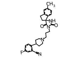 Cc1ccc2c(c1)CCC21NC(=O)N(CCCN2CCC(c3ccc(F)cc3C#N)CC2)C1=O